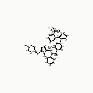 CN1CCN(Cc2ccc3n2Cc2ccccc2N(C(=O)c2ccc(-c4ccccc4-c4ccccc4C(N)=O)cc2Br)C3)CC1